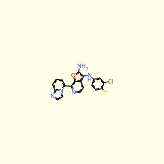 Nc1oc2c(-c3cccc4nccn34)nccc2c1Nc1ccc(F)c(Cl)c1